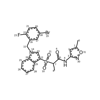 Cc1cc(NC(=O)C(C)S(=O)(=O)c2cn(Cc3cc(Br)ccc3F)c3ccccc23)no1